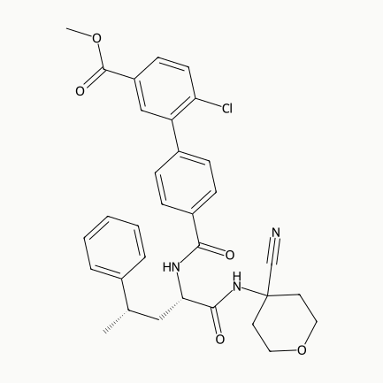 COC(=O)c1ccc(Cl)c(-c2ccc(C(=O)N[C@@H](C[C@H](C)c3ccccc3)C(=O)NC3(C#N)CCOCC3)cc2)c1